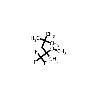 COC(C)(CC(C)(C)C)C(F)(F)F